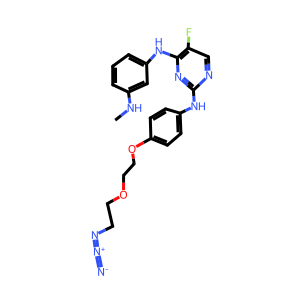 CNc1cccc(Nc2nc(Nc3ccc(OCCOCCN=[N+]=[N-])cc3)ncc2F)c1